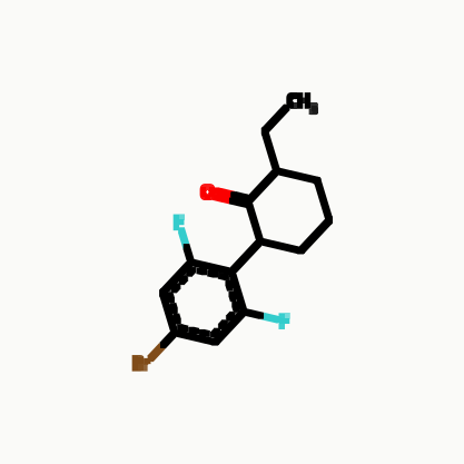 CCC1CCCC(c2c(F)cc(Br)cc2F)C1=O